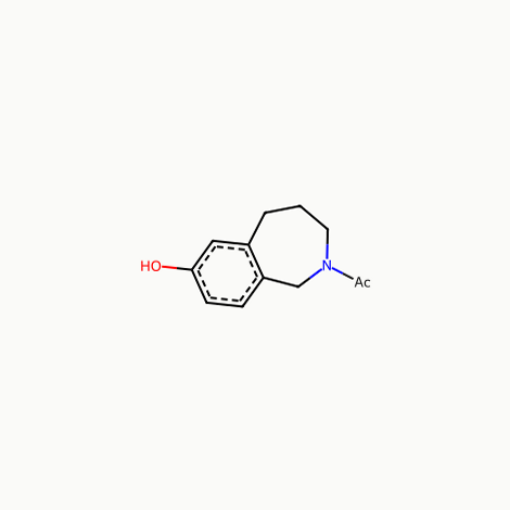 CC(=O)N1CCCc2cc(O)ccc2C1